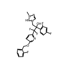 CN1N=CN(CC(O)(c2ccc(F)cc2F)C(F)(F)c2ccc(OCc3ccccc3F)cn2)N1